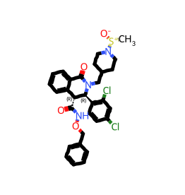 C[S+]([O-])N1CCC(CN2C(=O)c3ccccc3[C@@H](C(=O)NOCc3ccccc3)[C@@H]2c2ccc(Cl)cc2Cl)CC1